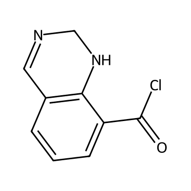 O=C(Cl)c1cccc2c1NCN=C2